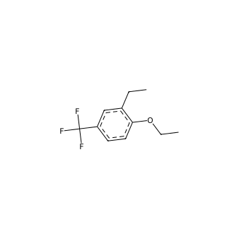 CCOc1ccc(C(F)(F)F)cc1CC